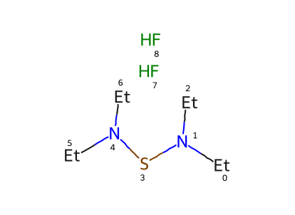 CCN(CC)SN(CC)CC.F.F